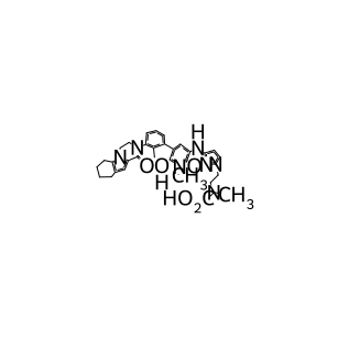 CN(CCn1ccc(Nc2cc(-c3cccc(N4CCn5c(cc6c5CCCC6)C4=O)c3CO)cn(C)c2=O)n1)C(=O)O